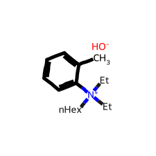 CCCCCC[N+](CC)(CC)c1ccccc1C.[OH-]